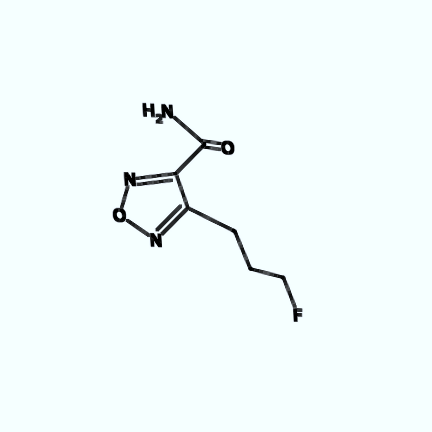 NC(=O)c1nonc1CCCF